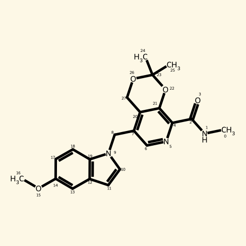 CNC(=O)c1ncc(Cn2ccc3cc(OC)ccc32)c2c1OC(C)(C)OC2